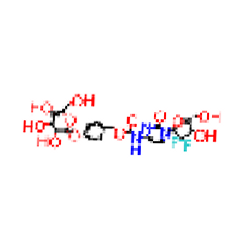 O=C(Nc1ccn([C@@H]2O[C@H](CO)C(O)C2(F)F)c(=O)n1)OCc1ccc(O[C@@H]2OC(CO)[C@H](O)C(O)C2O)cc1